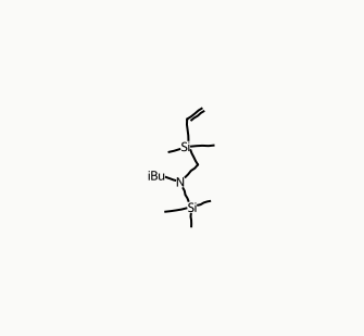 C=C[Si](C)(C)CN(C(C)CC)[Si](C)(C)C